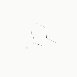 CCOC.C[O][Ni+2].[Br-].[Br-]